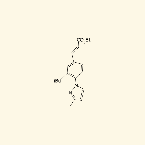 CCOC(=O)/C=C/c1ccc(-n2ccc(C)n2)c(C(C)CC)c1